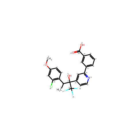 COc1ccc(C(C)C(O)(c2ccnc(-c3cccc(C(=O)O)c3)c2)C(F)(F)F)c(Cl)c1